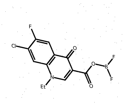 CCn1cc(C(=O)OB(F)F)c(=O)c2cc(F)c(Cl)cc21